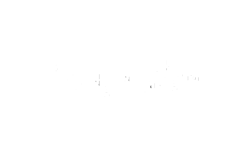 CC(C)(C)OC(=O)C(C)(C)Oc1cccc(N2CCCC(C(=O)NCc3ccc(-c4cccs4)cc3)C2)c1